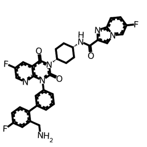 NCc1cc(F)ccc1-c1cccc(-n2c(=O)n([C@H]3CC[C@@H](NC(=O)c4cn5cc(F)ccc5n4)CC3)c(=O)c3cc(F)cnc32)c1